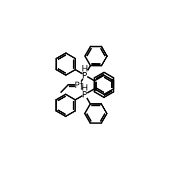 C[CH]=[Pt]([PH](c1ccccc1)(c1ccccc1)c1ccccc1)[PH](c1ccccc1)(c1ccccc1)c1ccccc1